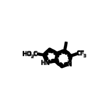 Cc1c(C(F)(F)F)ncc2[nH]c(C(=O)O)cc12